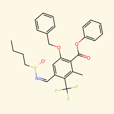 CCCC[S@+]([O-])/N=C\c1cc(OCc2ccccc2)c(C(=O)Oc2ccccc2)c(C)c1C(F)(F)F